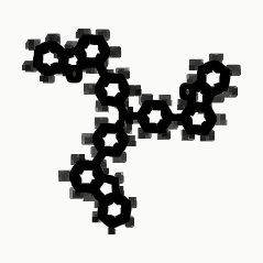 c1ccc2c(c1)Cc1c(-c3ccc(N(c4ccc(-c5cccc6c5oc5ccccc56)cc4)c4ccc(-c5cccc6c5oc5ccccc56)cc4)cc3)cccc1-2